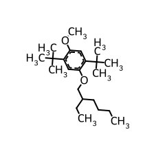 CCCCC(CC)COc1cc(C(C)(C)C)c(OC)cc1C(C)(C)C